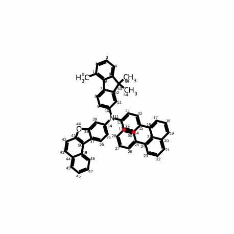 Cc1cccc2c1-c1ccc(N(c3ccc(-c4cccc5cccc(-c6ccccc6)c45)cc3)c3ccc4c(c3)oc3ccc5ccccc5c34)cc1C2(C)C